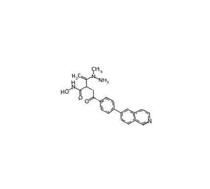 C=C(C(CC(=O)c1ccc(-c2ccc3cnccc3c2)cc1)C(=O)NO)N(C)N